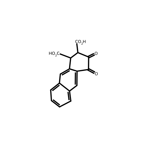 O=C1C(=O)C(C(=O)O)C(C(=O)O)c2cc3ccccc3cc21